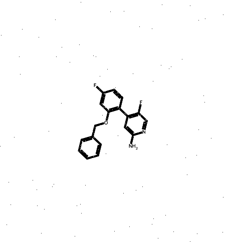 Nc1cc(-c2ccc(F)cc2OCc2ccccc2)c(F)cn1